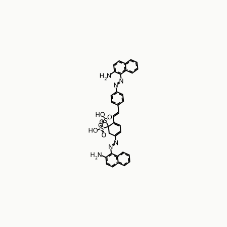 Nc1ccc2ccccc2c1N=NC1=CC=C(C=Cc2ccc(N=Nc3c(N)ccc4ccccc34)cc2)C(S(=O)(=O)O)(S(=O)(=O)O)C1